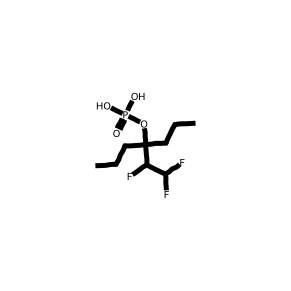 CCCC(CCC)(OP(=O)(O)O)C(F)C(F)F